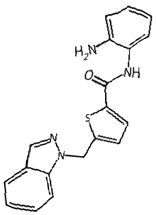 Nc1ccccc1NC(=O)c1ccc(Cn2ncc3ccccc32)s1